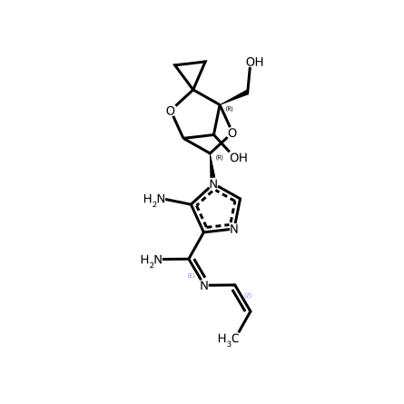 C/C=C\N=C(\N)c1ncn([C@@H]2O[C@]3(CO)C(O)C2OC32CC2)c1N